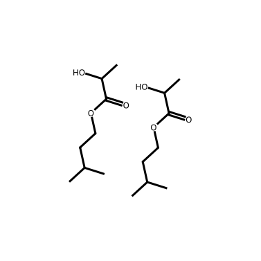 CC(C)CCOC(=O)C(C)O.CC(C)CCOC(=O)C(C)O